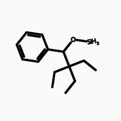 CCC(CC)(CC)C(O[SiH3])c1ccccc1